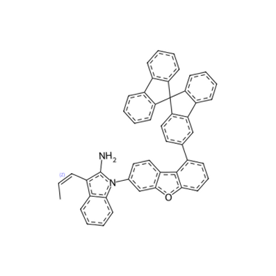 C/C=C\c1c(N)n(-c2ccc3c(c2)oc2cccc(-c4ccc5c(c4)-c4ccccc4C54c5ccccc5-c5ccccc54)c23)c2ccccc12